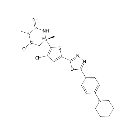 CN1C(=N)N[C@](C)(c2sc(-c3nnc(-c4ccc(N5CCCCC5)cc4)o3)cc2Cl)C[S+]1[O-]